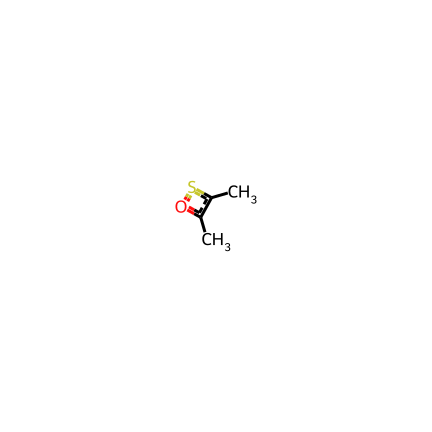 Cc1osc1C